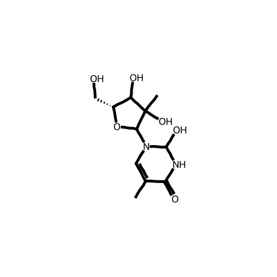 CC1=CN(C2O[C@H](CO)C(O)C2(C)O)C(O)NC1=O